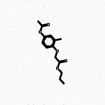 CCCOC(=O)COc1ccc(OC(C)=O)cc1C